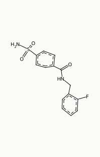 NS(=O)(=O)c1ccc(C(=O)NCc2ccccc2F)cc1